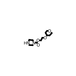 O=C(OCCOC1CCOCC1)N1CCNCC1